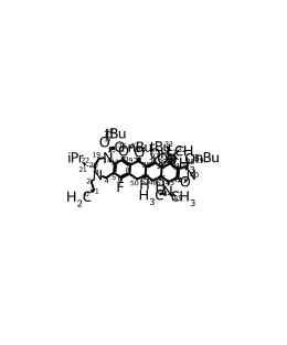 C=CCN1Cc2c(F)c3c(c(OCCCC)c2N(C(=O)OC(C)(C)C)C[C@H]1CC(C)C)C(=O)C1=C(O)[C@]2(O[Si](C)(C)C(C)(C)C)C(=O)c4c(OCCCC)noc4[C@@H](N(C)C)[C@@H]2C[C@@H]1C3